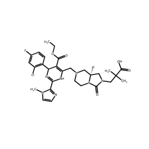 CCOC(=O)C1=C(CN2CCN3C(=O)N(CC(C)(C)C(=O)O)C[C@@H]3C2)NC(c2nccn2C)=NC1c1ccc(F)cc1Cl